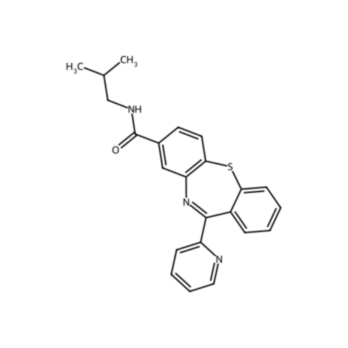 CC(C)CNC(=O)c1ccc2c(c1)N=C(c1ccccn1)c1ccccc1S2